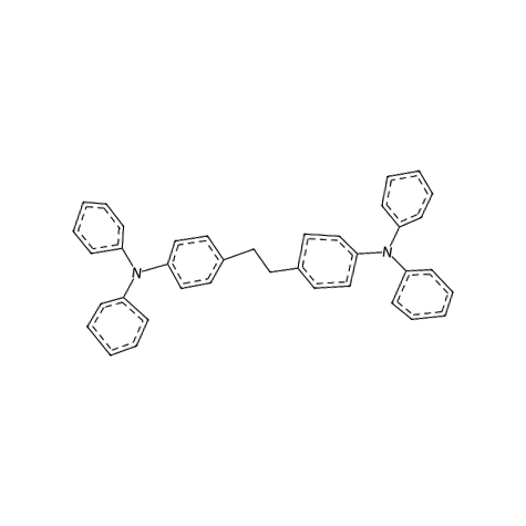 c1ccc(N(c2ccccc2)c2ccc(CCc3ccc(N(c4ccccc4)c4ccccc4)cc3)cc2)cc1